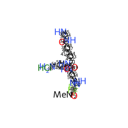 CNC(=O)C(F)(F)C(F)(F)c1n[nH]c(-c2ccc(NC(=O)[C@H](Cc3ccc(-c4ccc(C(=O)NC5CCNCC5)cc4C)cc3)NC(=O)[C@H]3CC[C@H](CN)CC3)cc2)n1.Cl